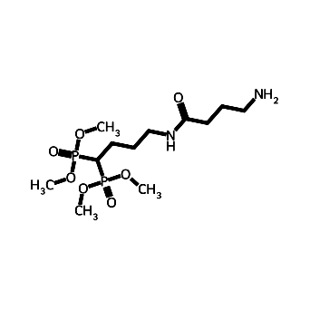 COP(=O)(OC)C(CCCNC(=O)CCCN)P(=O)(OC)OC